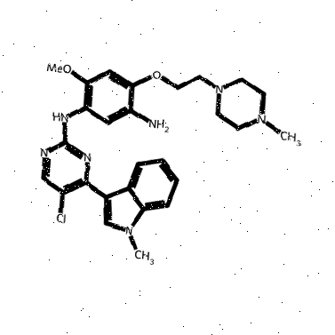 COc1cc(OCCN2CCN(C)CC2)c(N)cc1Nc1ncc(Cl)c(-c2cn(C)c3ccccc23)n1